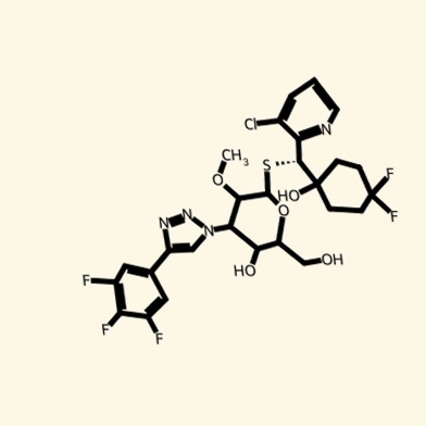 COC1C(S[C@H](c2ncccc2Cl)C2(O)CCC(F)(F)CC2)OC(CO)C(O)C1n1cc(-c2cc(F)c(F)c(F)c2)nn1